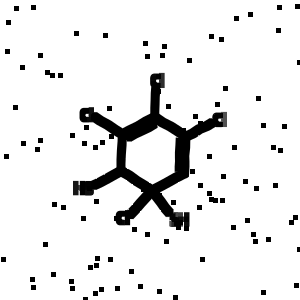 SC1C(Cl)=C(Cl)C(Cl)=CC1(S)Cl